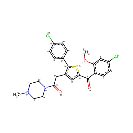 COc1cc(Cl)ccc1C(=O)c1cc(CC(=O)N2CCN(C)CC2)c(-c2ccc(Cl)cc2)s1